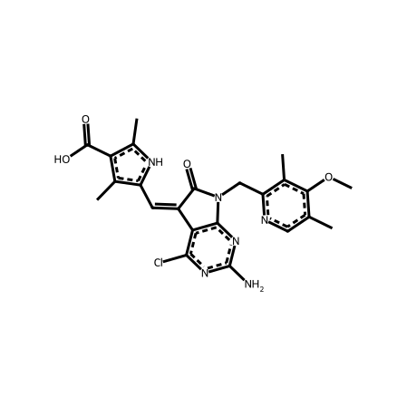 COc1c(C)cnc(CN2C(=O)C(=Cc3[nH]c(C)c(C(=O)O)c3C)c3c(Cl)nc(N)nc32)c1C